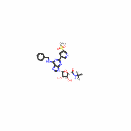 [2H]C([2H])([2H])NC(=O)[C@H]1O[C@@H](n2cnc3c(NCc4ccccc4)nc(-c4cncc(S(=O)(=O)OC)c4)nc32)[C@H](O)[C@@H]1O